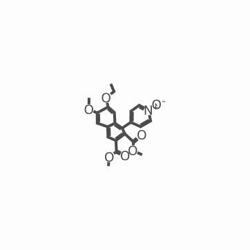 CCOc1cc2c(-c3cc[n+]([O-])cc3)c(C(=O)OC)c(C(=O)OC)cc2cc1OC